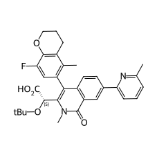 Cc1cccc(-c2ccc3c(-c4cc(F)c5c(c4C)CCCO5)c([C@H](OC(C)(C)C)C(=O)O)n(C)c(=O)c3c2)n1